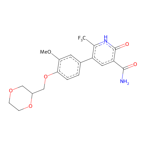 COc1cc(-c2cc(C(N)=O)c(=O)[nH]c2C(F)(F)F)ccc1OCC1COCCO1